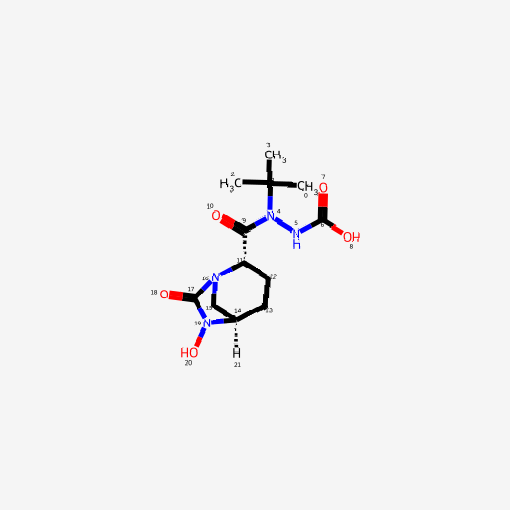 CC(C)(C)N(NC(=O)O)C(=O)[C@@H]1CC[C@@H]2CN1C(=O)N2O